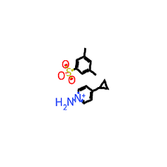 Cc1cc(C)cc(S(=O)(=O)[O-])c1.N[n+]1ccc(C2CC2)cc1